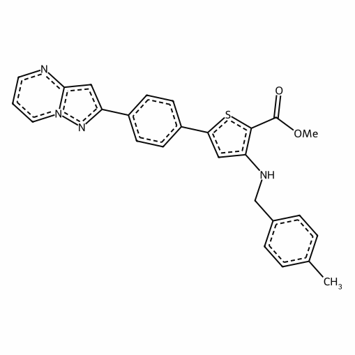 COC(=O)c1sc(-c2ccc(-c3cc4ncccn4n3)cc2)cc1NCc1ccc(C)cc1